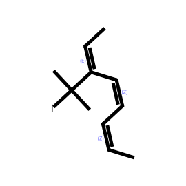 C\C=C/C=C\C(=C/C)C(C)(C)I